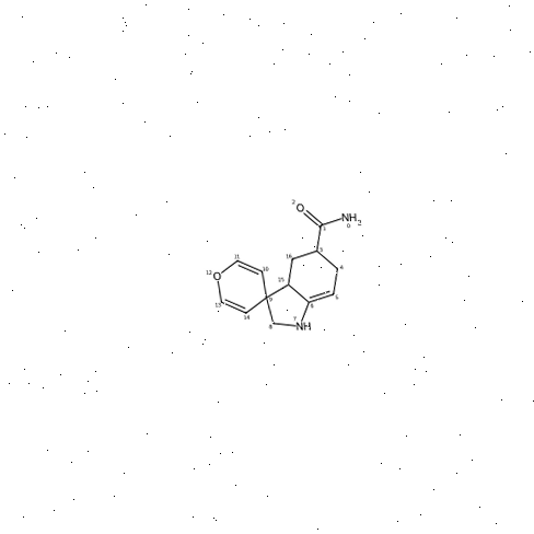 NC(=O)C1CC=C2NCC3(C=COC=C3)C2C1